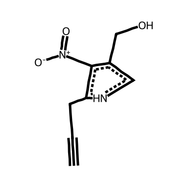 C#CCc1[nH]cc(CO)c1[N+](=O)[O-]